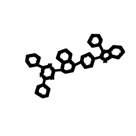 c1ccc(-c2nc(-c3ccccc3)nc(-c3ccc(-c4ccc(-c5nc6ccccc6n5-c5ccccc5)cc4)c4ccccc34)n2)cc1